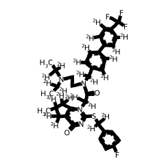 [2H]c1c([2H])c(C(F)(F)F)c([2H])c([2H])c1-c1c([2H])c([2H])c(C([2H])([2H])N(CCN(C([2H])([2H])C)C([2H])([2H])C)C(=O)C([2H])([2H])n2c(SC([2H])([2H])c3ccc(F)cc3)nc(=O)c3c2C([2H])([2H])C([2H])(C)C3([2H])[2H])c([2H])c1[2H]